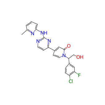 Cc1cccc(Nc2nccc(-c3ccn(C(CO)c4ccc(Cl)c(F)c4)c(=O)c3)n2)n1